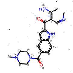 C/N=C\C(C(=O)c1cc2cc(C(=O)N3CCN(C)CC3)ccc2[nH]1)=C(/C)N